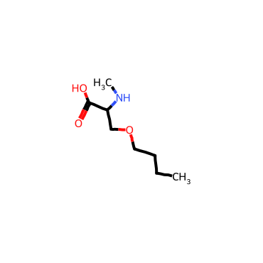 CCCCOCC(NC)C(=O)O